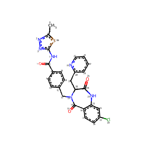 Cc1nnc(NC(=O)c2ccc(CN3C(=O)c4ccc(Cl)cc4NC(=O)C3Cc3ccccn3)cc2)s1